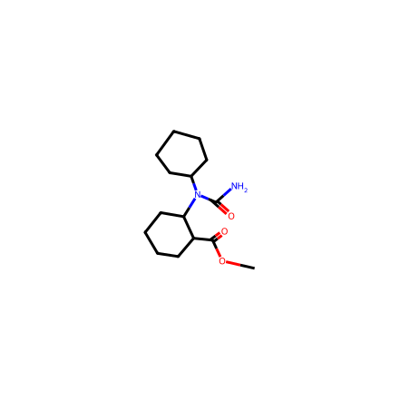 COC(=O)C1CCCCC1N(C(N)=O)C1CCCCC1